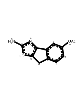 CC(=O)Oc1ccc2c(c1)-c1nc(N)sc1C2